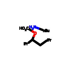 CC(C)CC(OC(=O)O)C(C)C.CCCCN